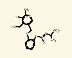 Cc1ncc(COc2ccccc2O/[P+]([O-])=N/C(C)C(=O)O)c(CO)c1O